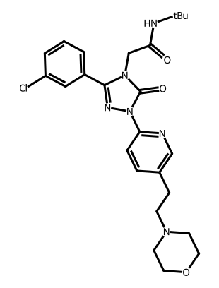 CC(C)(C)NC(=O)Cn1c(-c2cccc(Cl)c2)nn(-c2ccc(CCN3CCOCC3)cn2)c1=O